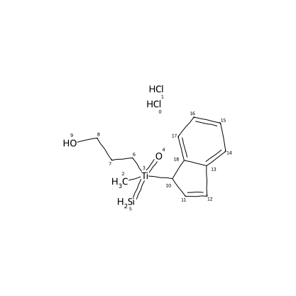 Cl.Cl.[CH3][Ti](=[O])(=[SiH2])([CH2]CCO)[CH]1C=Cc2ccccc21